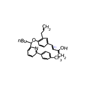 C=CCc1cc(/C=C/C(=C)O)ccc1OC(CCCC)c1cccc(-c2ccc(C(F)(F)F)cc2)n1